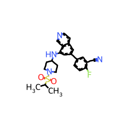 CC(C)S(=O)(=O)N1CCC(Nc2cc(-c3ccc(F)c(C#N)c3)cc3ccncc23)CC1